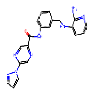 Nc1ncccc1NCc1cccc(NC(=O)c2cnc(-n3cccn3)cn2)c1